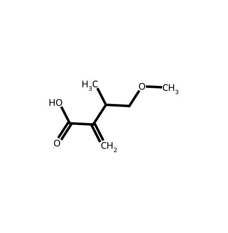 C=C(C(=O)O)C(C)COC